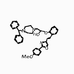 COc1ccc(-c2nc(C=Cc3ccccc3OCC(O)CN3CCN(C(c4ccccc4)c4ccccc4)CC3)co2)cc1